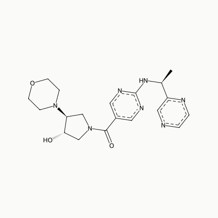 C[C@H](Nc1ncc(C(=O)N2C[C@H](O)[C@@H](N3CCOCC3)C2)cn1)c1cnccn1